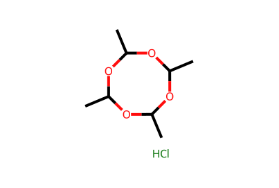 CC1OC(C)OC(C)OC(C)O1.Cl